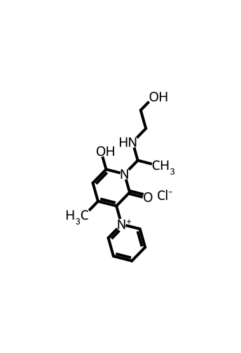 Cc1cc(O)n(C(C)NCCO)c(=O)c1-[n+]1ccccc1.[Cl-]